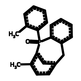 Cc1ccccc1P1(=O)c2cc(ccc2C)Cc2ccccc21